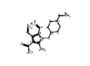 C=Cc1c(C(=O)O)c(C)n(CC2CCN(CC)CC2)c1C=C